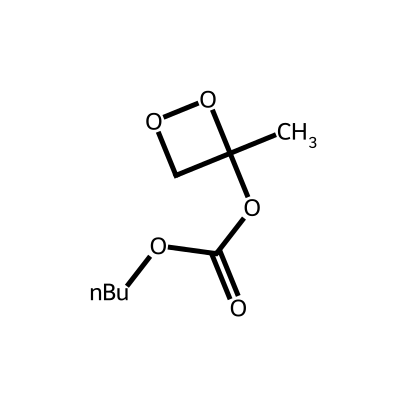 CCCCOC(=O)OC1(C)COO1